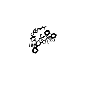 C[C@@H]1Cc2c([nH]c3ccccc23)[C@@H](c2ncc(OC3CN(CCCF)C3)s2)N1CC(F)(F)CO[Si](c1ccccc1)(c1ccccc1)C(C)(C)C